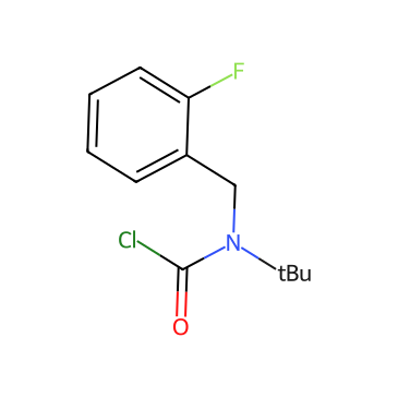 CC(C)(C)N(Cc1ccccc1F)C(=O)Cl